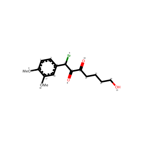 COc1ccc(C(Br)C(=O)C(=O)CCCCO)cc1OC